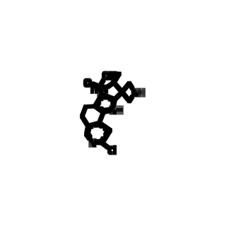 NC1(C2(c3[nH]c4c(c3C(=O)O)CCc3cnc(Cl)cc3-4)CNC2)CC1